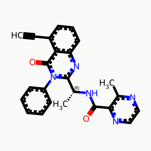 C#Cc1cccc2nc([C@@H](C)NC(=O)c3nccnc3C)n(-c3ccccc3)c(=O)c12